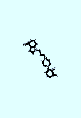 Cc1cccc(N2CCN(CCCn3ccc4c3CCCC4=O)CC2)c1C